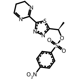 C[C@@H](OS(=O)(=O)c1ccc([N+](=O)[O-])cc1)c1nnc(C2=NCCC=N2)s1